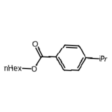 CCCCCCOC(=O)c1ccc(C(C)C)cc1